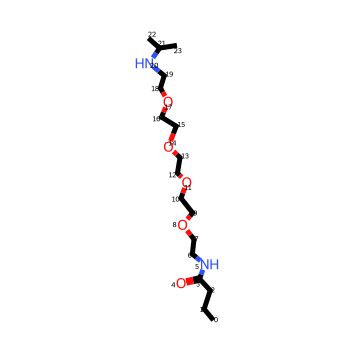 CCCC(=O)NCCOCCOCCOCCOCCNC(C)C